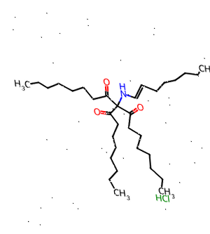 CCCCCCC=CNC(C(=O)CCCCCCC)(C(=O)CCCCCCC)C(=O)CCCCCCC.Cl